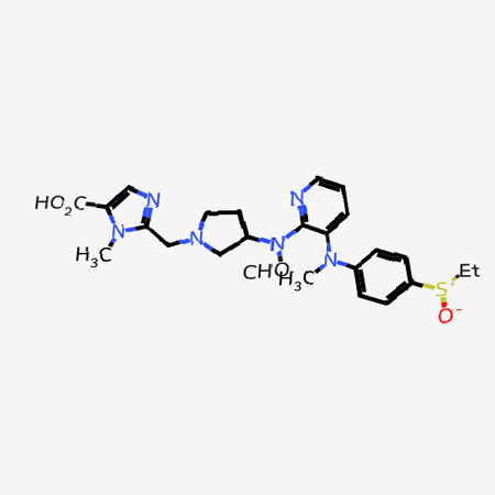 CC[S+]([O-])c1ccc(N(C)c2cccnc2N(C=O)C2CCN(Cc3ncc(C(=O)O)n3C)C2)cc1